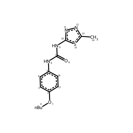 CCCCOc1ccc(NC(=O)Nc2nnc(C)s2)cc1